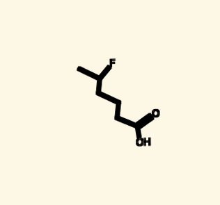 CC(F)CCCC(=O)O